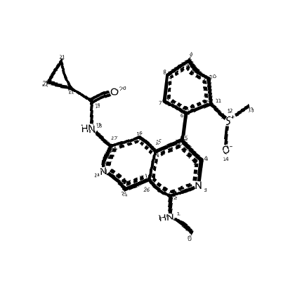 CNc1ncc(-c2ccccc2[S+](C)[O-])c2cc(NC(=O)C3CC3)ncc12